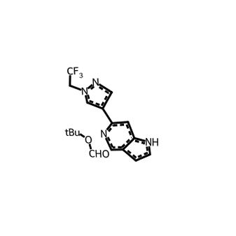 CC(C)(C)OC=O.FC(F)(F)Cn1cc(-c2cc3[nH]ccc3cn2)cn1